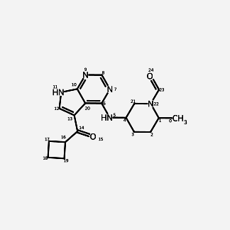 CC1CCC(Nc2ncnc3[nH]cc(C(=O)C4CCC4)c23)CN1C=O